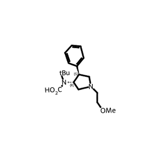 COCCN1C[C@H](c2ccccc2)[C@@H](N(C(=O)O)C(C)(C)C)C1